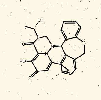 C[C@@H](N1CN([C@@H]2c3ccccc3CSc3ccccc32)n2c(CF)cc(=O)c(O)c2C1=O)C(F)(F)F